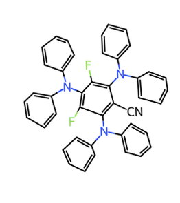 N#Cc1c(N(c2ccccc2)c2ccccc2)c(F)c(N(c2ccccc2)c2ccccc2)c(F)c1N(c1ccccc1)c1ccccc1